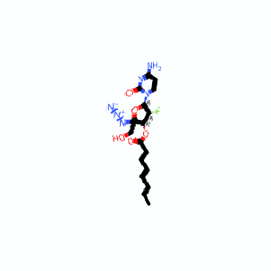 CCCCCCCC(=O)O[C@H]1[C@@H](F)[C@H](n2ccc(N)nc2=O)OC1(CO)N=[N+]=[N-]